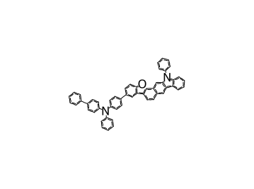 c1ccc(-c2ccc(N(c3ccccc3)c3ccc(-c4ccc5oc6c7cc8c(cc7ccc6c5c4)c4ccccc4n8-c4ccccc4)cc3)cc2)cc1